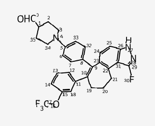 O=CC1CCN(c2ccc(C3=C(c4cccc(OC(F)(F)F)c4)CCCc4c3ccc3[nH]nc(F)c43)cc2)CC1